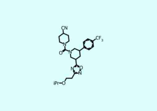 CC(C)OCCc1noc(C2CC(c3ccc(C(F)(F)F)cc3)CN(C(=O)N3CCC(C#N)CC3)C2)n1